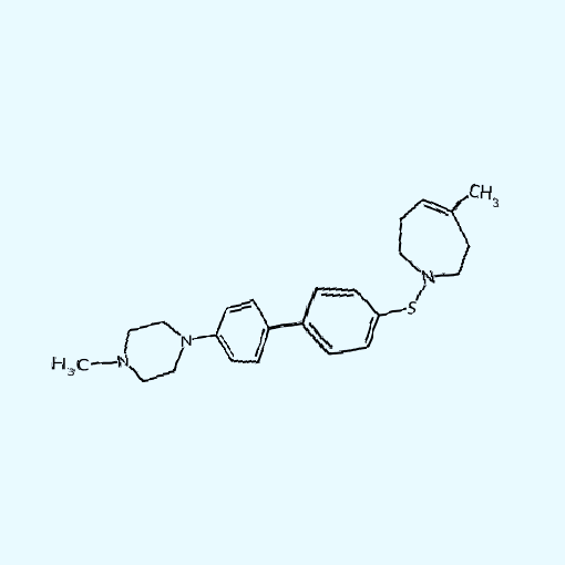 CC1=CCCN(Sc2ccc(-c3ccc(N4CCN(C)CC4)cc3)cc2)CC1